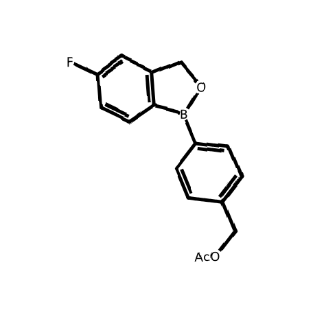 CC(=O)OCc1ccc(B2OCc3cc(F)ccc32)cc1